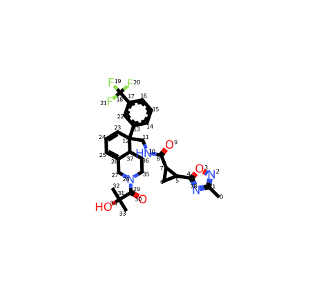 Cc1noc(C2CC2C(=O)NCC2(c3cccc(C(F)(F)F)c3)C=CC=C3CN(C(=O)C(C)(C)O)CCC32)n1